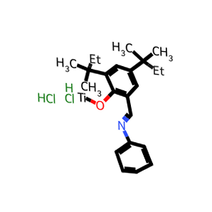 CCC(C)(C)c1cc(C=Nc2ccccc2)c([O][Ti])c(C(C)(C)CC)c1.Cl.Cl